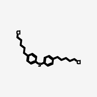 ClCCCCCc1ccc(Sc2ccc(CCCCCCl)cc2)cc1